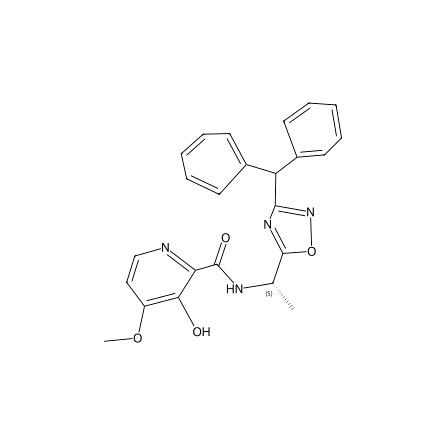 COc1ccnc(C(=O)N[C@@H](C)c2nc(C(c3ccccc3)c3ccccc3)no2)c1O